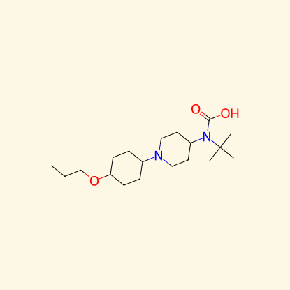 CCCOC1CCC(N2CCC(N(C(=O)O)C(C)(C)C)CC2)CC1